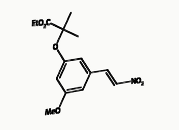 CCOC(=O)C(C)(C)Oc1cc(C=C[N+](=O)[O-])cc(OC)c1